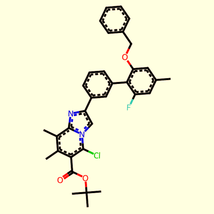 Cc1cc(F)c(-c2cccc(-c3cn4c(Cl)c(C(=O)OC(C)(C)C)c(C)c(C)c4n3)c2)c(OCc2ccccc2)c1